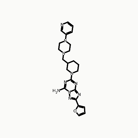 Nc1nc(N2CCCC(CN3CCN(c4cccnc4)CC3)C2)nc2nc(-c3ccco3)nn12